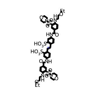 CCOCCNc1ccc(C(=O)Nc2ccc(/C=C/c3ccc(NC(=O)c4ccc(NCCOCC)c(S(=O)(=O)N5CCOCC5)c4)cc3S(=O)(=O)O)c(S(=O)(=O)O)c2)cc1S(=O)(=O)N1CCOCC1